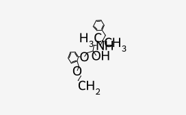 C=CCOCc1ccccc1OCC(O)CNC(C)(C)Cc1ccccc1